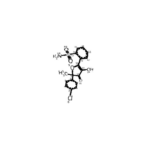 CC1(c2ccc(Cl)cc2)OC(c2ccccc2S(N)(=O)=O)=C(O)C1=O